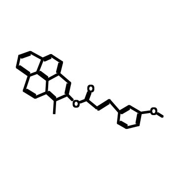 COc1cccc(C=CC(=O)Oc2cc3ccc4cccc5ccc(c2C)c3c45)c1